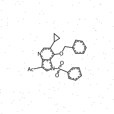 CC(=O)c1cn(S(=O)(=O)c2ccccc2)c2c(OCc3ccccc3)c(C3CC3)cnc12